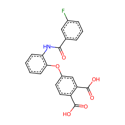 O=C(Nc1ccccc1Oc1ccc(C(=O)O)c(C(=O)O)c1)c1cccc(F)c1